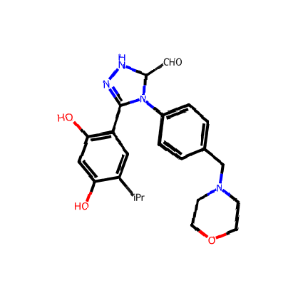 CC(C)c1cc(C2=NNC(C=O)N2c2ccc(CN3CCOCC3)cc2)c(O)cc1O